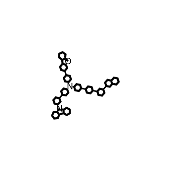 c1cc(-c2ccc(-c3ccc(N(c4ccc(-c5cccc(-n6c7ccccc7c7ccccc76)c5)cc4)c4ccc(-c5ccc6c(c5)oc5ccccc56)cc4)cc3)cc2)cc(-c2ccc3ccccc3c2)c1